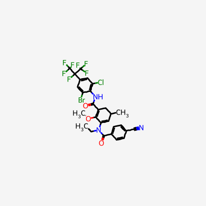 CCN(C(=O)c1ccc(C#N)cc1)C1=CC(C)CC(C(=O)Nc2c(Cl)cc(C(F)(C(F)(F)F)C(F)(F)F)cc2Br)=C1OC